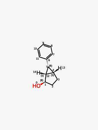 O[C@@H]1CC[C@H]2[C@@H](c3ccccc3)[C@H]21